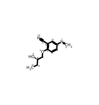 C=Nc1ccc(OC[C@H](O)CC)c(C#N)c1